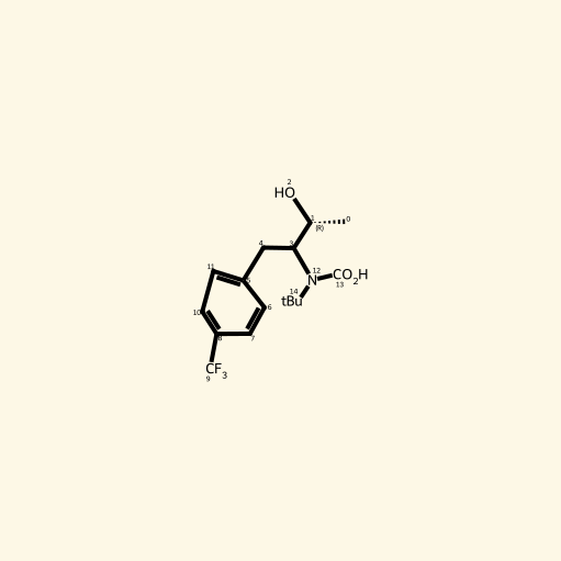 C[C@@H](O)C(Cc1ccc(C(F)(F)F)cc1)N(C(=O)O)C(C)(C)C